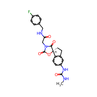 CNC(=O)Nc1ccc2c(c1)CC[C@@]21OC(=O)N(CC(=O)NCc2ccc(F)cc2)C1=O